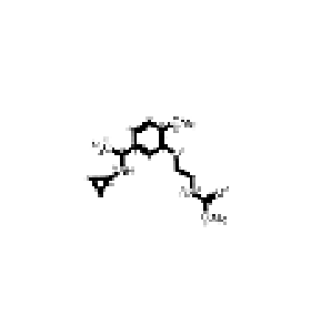 COC(=O)NCCOc1cc(C(C)NC2CC2)ccc1OC